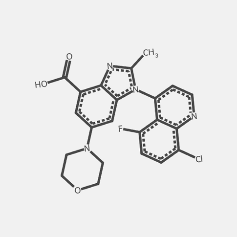 Cc1nc2c(C(=O)O)cc(N3CCOCC3)cc2n1-c1ccnc2c(Cl)ccc(F)c12